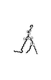 CCCCC/C=C\C/C=C\CCCCCCCC(=O)OCC(COC(=O)CCC(OCCCCCCCC)OCCCCCCCC)COC(=O)OCCN1CCCC1